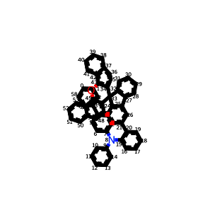 c1ccc(-c2ccc(N(c3ccccc3)c3ccccc3-c3ccc4c(c3)-c3ccccc3C43c4ccc5ccccc5c4Oc4c3ccc3ccccc43)cc2)cc1